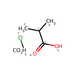 CC(C)C(=O)O.O=C(O)Cl